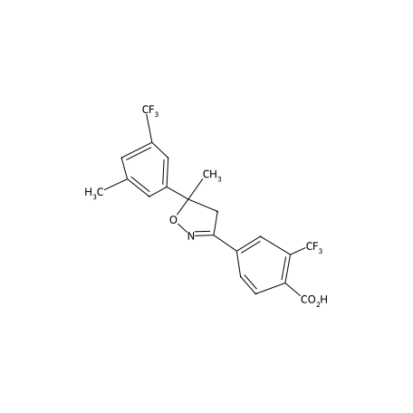 Cc1cc(C(F)(F)F)cc(C2(C)CC(c3ccc(C(=O)O)c(C(F)(F)F)c3)=NO2)c1